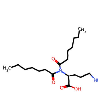 CCCCCCC(=O)N(C(=O)CCCCCC)[C@@H](CCCN)C(=O)O